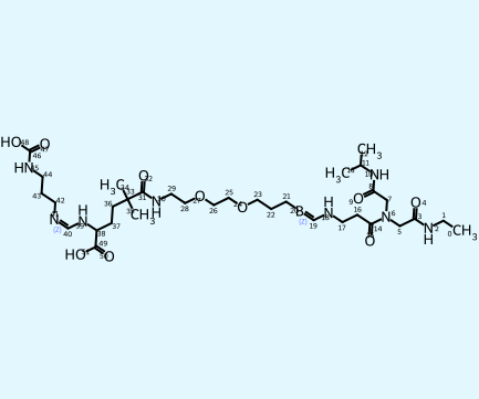 CCNC(=O)CN(CC(=O)NC(C)C)C(=O)CCN/C=B\CCCOCCOCCNC(=O)C(C)(C)CCC(N/C=N\CCCNC(=O)O)C(=O)O